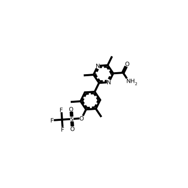 Cc1cc(-c2nc(C(N)=O)c(C)nc2C)cc(C)c1OS(=O)(=O)C(F)(F)F